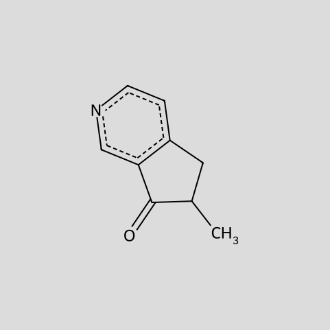 CC1Cc2ccncc2C1=O